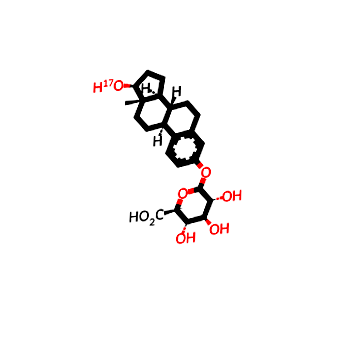 C[C@]12CC[C@@H]3c4ccc(OC5O[C@H](C(=O)O)[C@@H](O)[C@H](O)[C@H]5O)cc4CC[C@H]3[C@@H]1CC[C@@H]2[17OH]